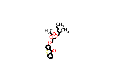 C=CC(=O)OC(COCC(CC)CCCC)COc1ccc2sc3ccccc3c(=O)c2c1